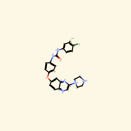 O=C(Nc1ccc(Oc2ccc3ncc(N4CCNCC4)nc3c2)cc1)Nc1ccc(Cl)c(F)c1